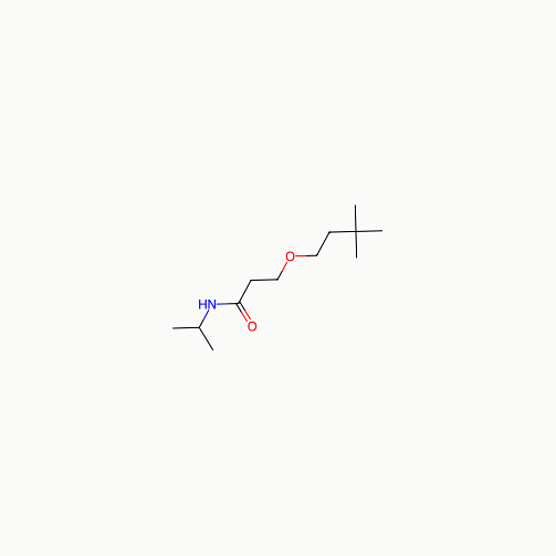 CC(C)NC(=O)CCOCCC(C)(C)C